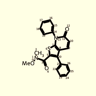 CON(C)C(=O)c1sc2c(ccc(=O)n2-c2ccccc2)c1-c1ccccc1